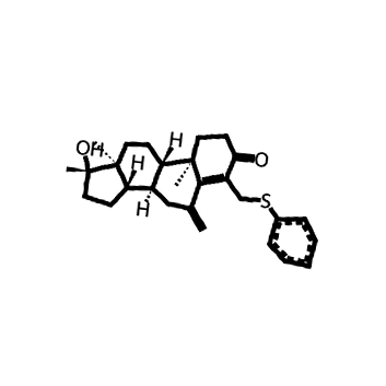 C=C1C[C@@H]2[C@H](CC[C@@]3(C)[C@H]2CC[C@]3(C)O)[C@@]2(C)CCC(=O)C(CSc3ccccc3)=C12